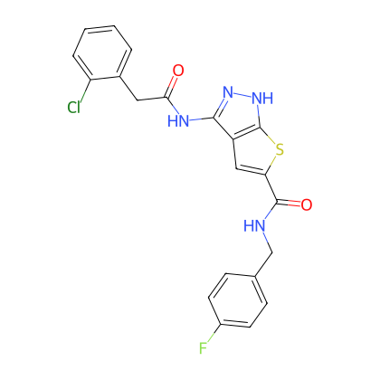 O=C(Cc1ccccc1Cl)Nc1n[nH]c2sc(C(=O)NCc3ccc(F)cc3)cc12